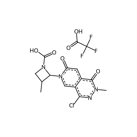 CC1CN(C(=O)O)C1n1cc2c(Cl)nn(C)c(=O)c2cc1=O.O=C(O)C(F)(F)F